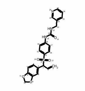 C=CC(c1ccc2c(c1)OCO2)S(=O)(=O)c1ccc(NC(=O)NCc2cccnc2)cc1